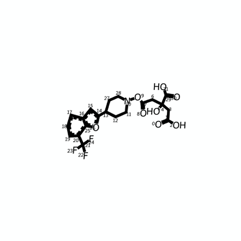 O=C(O)CC(O)(CC(=O)ON1CCC(c2cc3cccc(C(F)(F)F)c3o2)CC1)C(=O)O